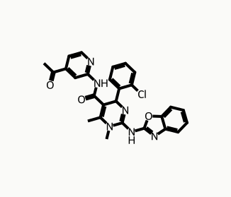 CC(=O)c1ccnc(NC(=O)C2=C(C)N(C)C(Nc3nc4ccccc4o3)=NC2c2ccccc2Cl)c1